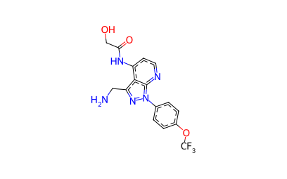 NCc1nn(-c2ccc(OC(F)(F)F)cc2)c2nccc(NC(=O)CO)c12